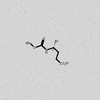 CCOC(=O)CC[C@H](NC(=O)OC(C)(C)C)C(C)=O